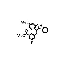 COC(=O)c1cc(F)cc(Cc2c(-c3ccccc3)[nH]c3cc(OC)ccc23)c1